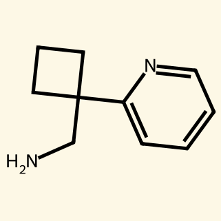 NCC1(c2ccccn2)CCC1